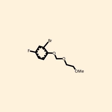 COCCOCOc1ccc(F)cc1Br